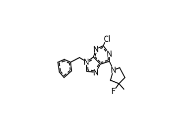 CC1(F)CCN(c2nc(Cl)nc3c2ncn3Cc2ccccc2)C1